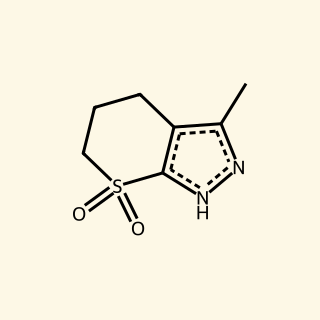 Cc1n[nH]c2c1CCCS2(=O)=O